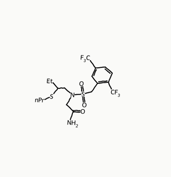 CCCSC(CC)CN(CC(N)=O)S(=O)(=O)Cc1cc(C(F)(F)F)ccc1C(F)(F)F